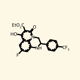 CCOC(=O)c1c(O)c2cc(F)cc3c2n(c1=O)CC(c1ccc(C(F)(F)F)cc1)N3